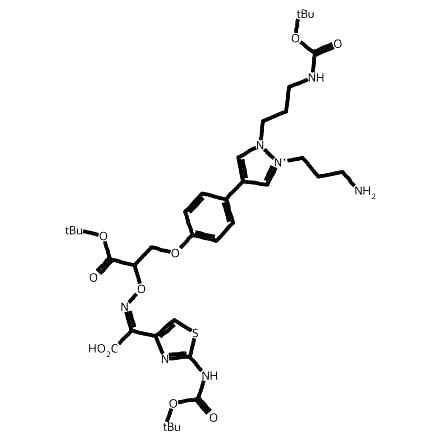 CC(C)(C)OC(=O)NCCCn1cc(-c2ccc(OCC(ON=C(C(=O)O)c3csc(NC(=O)OC(C)(C)C)n3)C(=O)OC(C)(C)C)cc2)c[n+]1CCCN